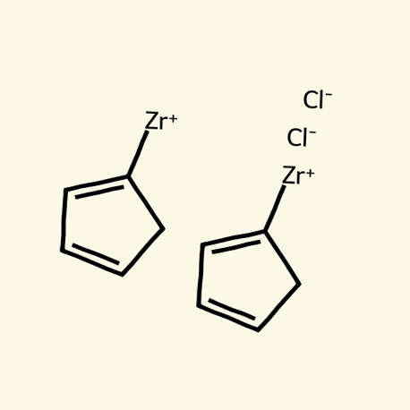 [Cl-].[Cl-].[Zr+][C]1=CC=CC1.[Zr+][C]1=CC=CC1